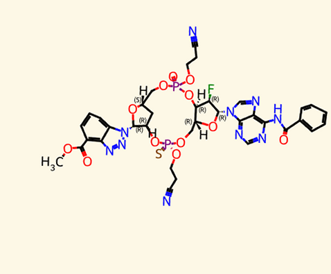 COC(=O)c1cccc2c1nnn2[C@@H]1O[C@@H]2COP(=O)(OCCC#N)O[C@H]3[C@@H](F)[C@H](n4cnc5c(NC(=O)c6ccccc6)ncnc54)O[C@@H]3COP(=S)(OCCC#N)O[C@@H]1C2